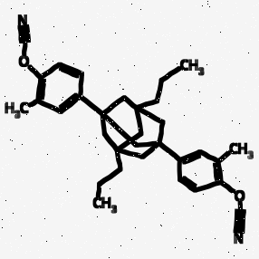 CCCC12CC3(CCC)CC(c4ccc(OC#N)c(C)c4)(C1)CC(c1ccc(OC#N)c(C)c1)(C2)C3